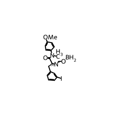 BOC=N[C@@H](Cc1cccc(I)c1)C(=O)N(C)c1ccc(OC)cc1